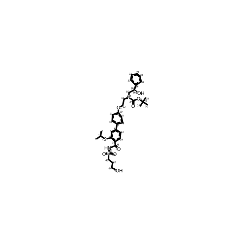 CC(C)Sc1cc(-c2ccc(OCCN(C[C@H](O)c3ccccc3)C(=O)OC(C)(C)C)cc2)ccc1C(=O)NS(=O)(=O)CCCO